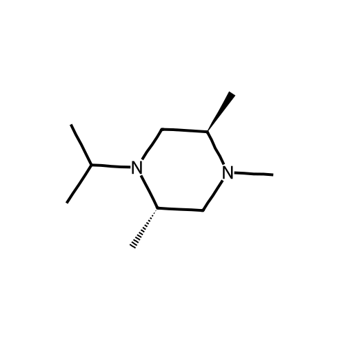 CC(C)N1C[C@@H](C)N(C)C[C@@H]1C